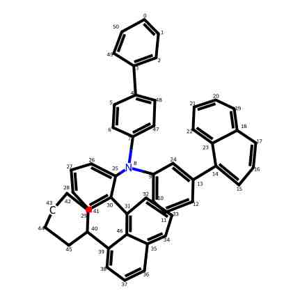 c1ccc(-c2ccc(N(c3cccc(-c4cccc5ccccc45)c3)c3ccccc3-c3cccc4cccc(C5CCCCC5)c34)cc2)cc1